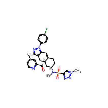 CC(C)N([C@H]1CCC2=Cc3c(cnn3-c3ccc(F)cc3)C[C@]2(C(=O)c2cc(C(F)(F)F)ccn2)C1)S(=O)(=O)c1cn(C)nn1